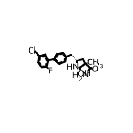 C[C@@]1(C(N)=O)C[C@@H](Cc2ccc(-c3cc(Cl)ccc3F)cc2)NC1O